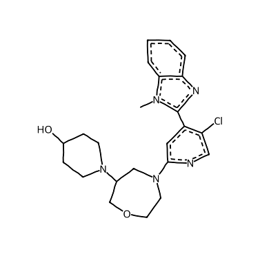 Cn1c(-c2cc(N3CCOCC(N4CCC(O)CC4)C3)ncc2Cl)nc2ccccc21